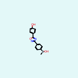 CB(O)c1ccc(-c2noc(-c3ccc(O)cc3)n2)cc1